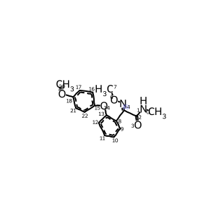 CNC(=O)/C(=N/OC)c1ccccc1Oc1ccc(OC)cc1